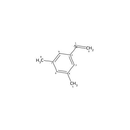 C=[Si]c1cc(C)cc(C)c1